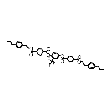 CCCc1ccc(CCOC(=O)C2CCC(C(=O)Oc3ccc(OC(=O)C4CCC(C(=O)OCCc5ccc(CCC)cc5)CC4)c(C(F)(F)F)c3)CC2)cc1